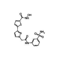 NS(=O)(=O)c1cccc(NC(=O)Cn2ccc(-c3ccc(C(=O)NO)s3)n2)c1